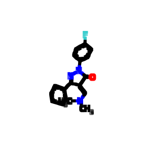 CN(C)/C=C1/C(=O)N(c2ccc(F)cc2)N=C1c1ccccc1